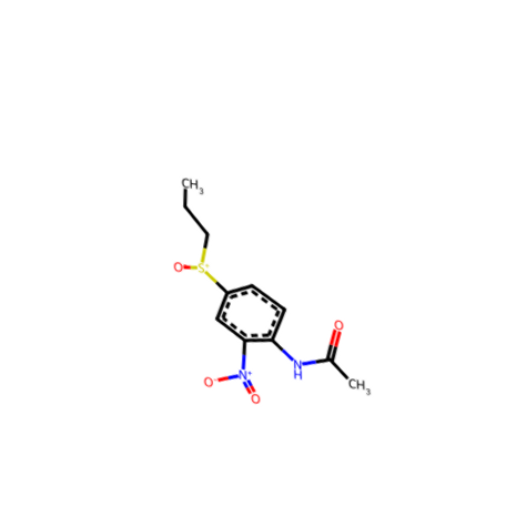 CCC[S+]([O-])c1ccc(NC(C)=O)c([N+](=O)[O-])c1